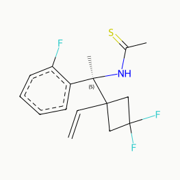 C=CC1([C@](C)(NC(C)=S)c2ccccc2F)CC(F)(F)C1